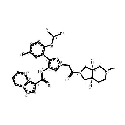 CN1CC[C@H]2CN(C(=O)Cn3cc(NC(=O)c4cnn5cccnc45)c(-c4cc(Cl)ccc4OC(F)F)n3)C[C@H]2C1